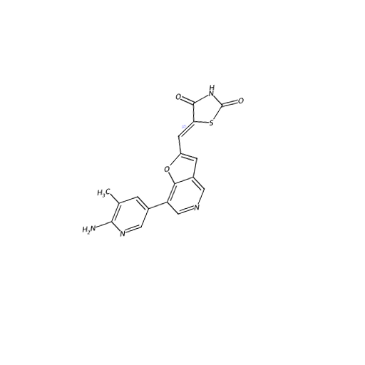 Cc1cc(-c2cncc3cc(/C=C4\SC(=O)NC4=O)oc23)cnc1N